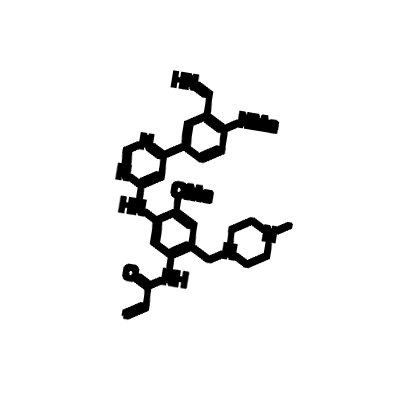 C=CC(=O)Nc1cc(Nc2cc(-c3ccc(NC)c(C=N)c3)ncn2)c(OC)cc1CN1CCN(C)CC1